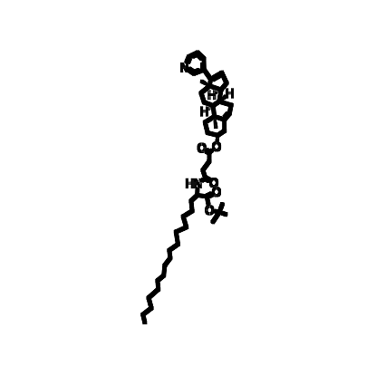 CCCCCCCCCCCCCCCCC(NC(=O)CCC(=O)O[C@H]1CC[C@@]2(C)C(=CC[C@@H]3[C@@H]2CC[C@]2(C)C(c4cccnc4)=CC[C@@H]32)C1)C(=O)OC(C)(C)C